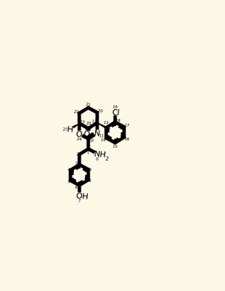 NC(Cc1ccc(O)cc1)C1=N[C@@]2(c3ccccc3Cl)CCC[C@@H](O1)C2=O